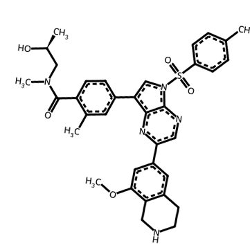 COc1cc(-c2cnc3c(n2)c(-c2ccc(C(=O)N(C)C[C@H](C)O)c(C)c2)cn3S(=O)(=O)c2ccc(C)cc2)cc2c1CNCC2